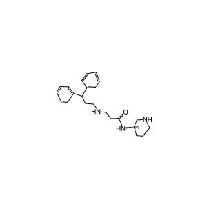 O=C(CCNCCC(c1ccccc1)c1ccccc1)N[C@@H]1CCCNC1